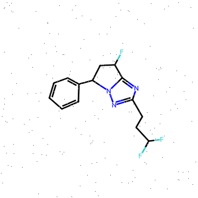 FC(F)CCc1nc2n(n1)C(c1ccccc1)CC2F